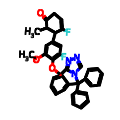 COc1cc(C2C(F)=CCC(=O)C2C)cc(F)c1OCc1nncn1C(c1ccccc1)(c1ccccc1)c1ccccc1